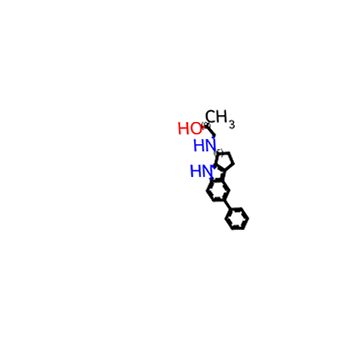 C[C@H](O)CN[C@H]1CCc2c1[nH]c1ccc(-c3ccccc3)cc21